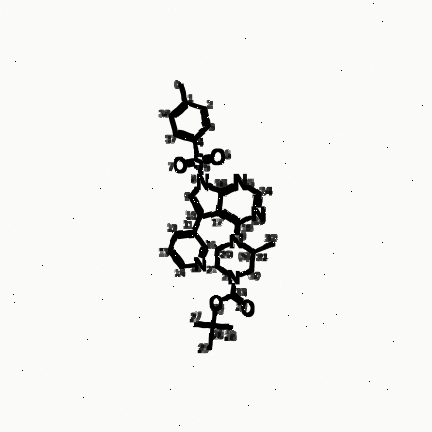 Cc1ccc(S(=O)(=O)n2cc(-c3cccnc3)c3c(N4CCN(C(=O)OC(C)(C)C)C[C@@H]4C)ncnc32)cc1